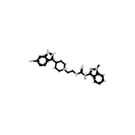 Cn1nc(NC(=O)OCCN2CCC(c3noc4cc(F)ccc34)CC2)c2ccccc21